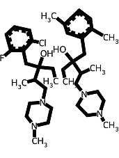 CCC(O)(Cc1c(F)cccc1Cl)C(C)CN1CCN(C)CC1.CCC(O)(Cc1cc(C)ccc1C)C(C)CN1CCN(C)CC1